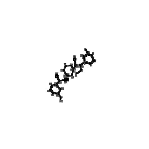 Cc1cccc(N2CC[C@]3(CCC[C@@H](NC(=O)c4cccc(F)c4)C3)C2=O)n1